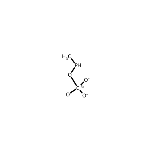 CPO[Cl+3]([O-])([O-])[O-]